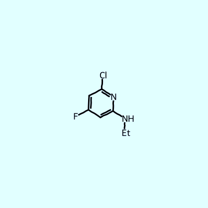 CCNc1cc(F)cc(Cl)n1